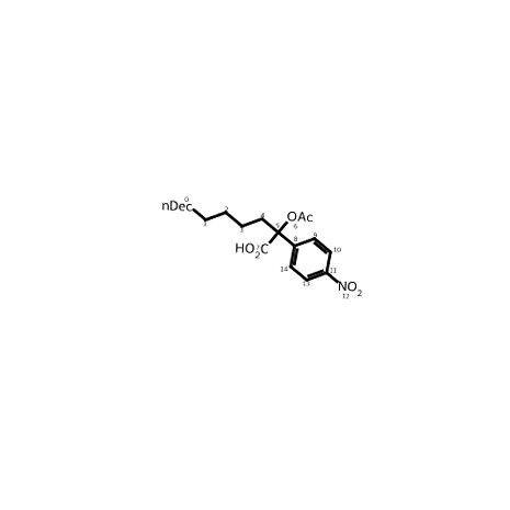 CCCCCCCCCCCCCCC(OC(C)=O)(C(=O)O)c1ccc([N+](=O)[O-])cc1